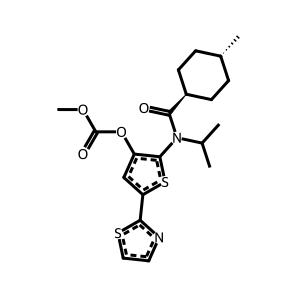 COC(=O)Oc1cc(-c2nccs2)sc1N(C(=O)[C@H]1CC[C@H](C)CC1)C(C)C